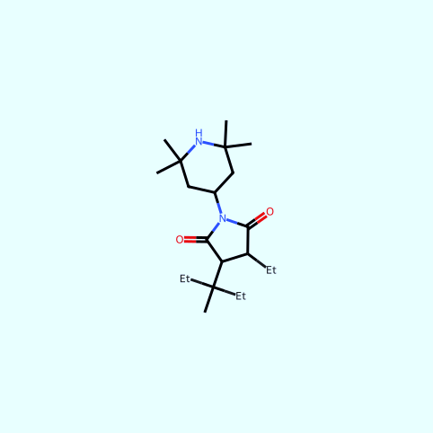 CCC1C(=O)N(C2CC(C)(C)NC(C)(C)C2)C(=O)C1C(C)(CC)CC